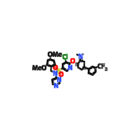 COc1ccc(CN(c2ccncn2)S(=O)(=O)c2cnc(O[C@H]3CC[C@H](c4cccc(C(F)(F)F)c4)C[C@@H]3N(C)C)c(Cl)c2)c(OC)c1